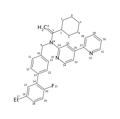 C=C(C1CCCCC1)N(Cc1ccc(-c2cc(CC)ccc2F)cc1)c1cc(-c2ccccn2)ccn1